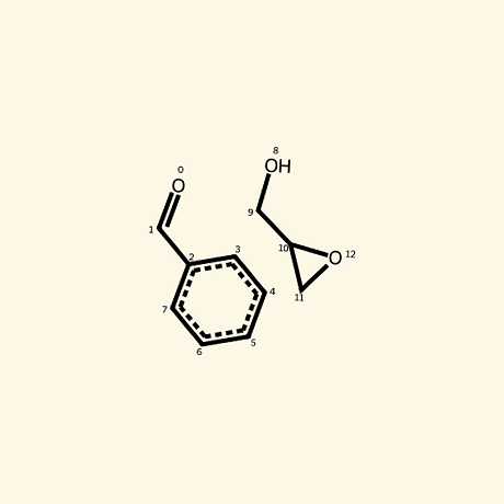 O=Cc1ccccc1.OCC1CO1